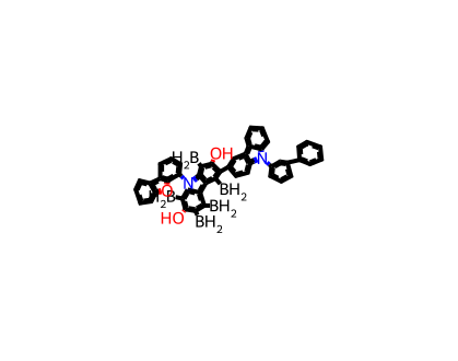 Bc1c(O)c(B)c2c(c1B)c1c(B)c(-c3ccc4c(c3)c3ccccc3n4-c3cccc(-c4ccccc4)c3)c(O)c(B)c1n2-c1cccc2c1oc1ccccc12